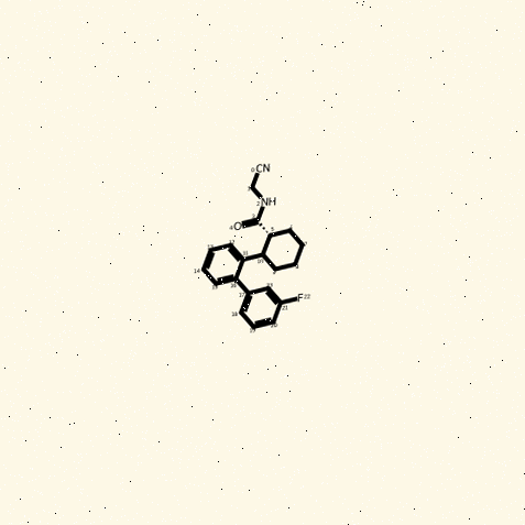 N#CCNC(=O)[C@@H]1CCCCC1c1ccccc1-c1cccc(F)c1